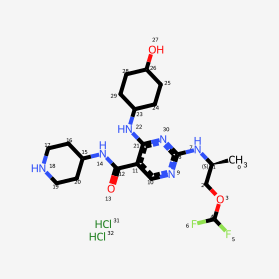 C[C@@H](COC(F)F)Nc1ncc(C(=O)NC2CCNCC2)c(NC2CCC(O)CC2)n1.Cl.Cl